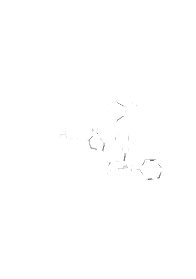 Cc1cc(C(=O)C(=O)Nc2cccc(Cl)c2)c(C)n1CC1C=CC(Cl)=CC1